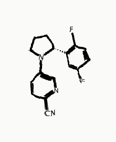 N#Cc1ccc(N2[CH]CC[C@@H]2c2cc(F)ccc2F)cn1